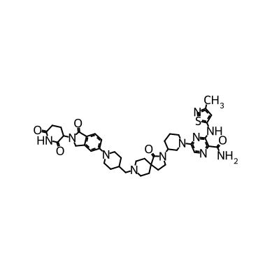 Cc1cc(Nc2nc(N3CCCC(N4CCC5(CCN(CC6CCN(c7ccc8c(c7)CN(C7CCC(=O)NC7=O)C8=O)CC6)CC5)C4=O)C3)cnc2C(N)=O)sn1